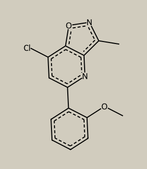 COc1ccccc1-c1cc(Cl)c2onc(C)c2n1